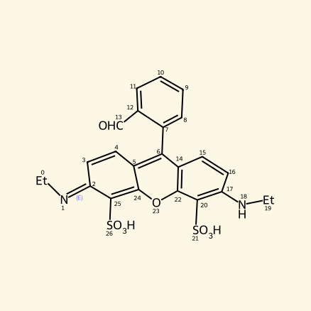 CC/N=c1\ccc2c(-c3ccccc3C=O)c3ccc(NCC)c(S(=O)(=O)O)c3oc-2c1S(=O)(=O)O